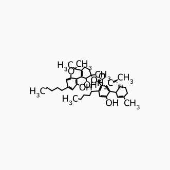 C=C(C)[C@@H]1CCC(C)=CC1c1cc(C(=O)OC2(C)CCC3=C(c4c(O)cc(CCCCC)cc4OC3(C)C)C2O)c(CCCCC)cc1O